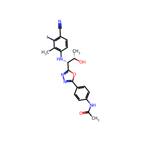 CC(=O)Nc1ccc(-c2nnc([C@H](Nc3ccc(C#N)c(I)c3C)[C@H](C)O)o2)cc1